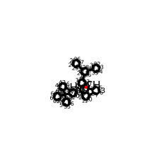 CC1(C)c2ccccc2-c2cccc(N(c3ccc(-c4cc(-c5ccccc5)cc(-c5ccccc5)c4)cc3)c3ccc4c(c3)-c3ccccc3C4(c3ccccc3)c3ccccc3)c21